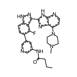 CCCC(=O)Nc1cncc(-c2ccc3[nH]nc(-c4nc5c(N6CCN(C)CC6)ccnc5[nH]4)c3c2F)c1